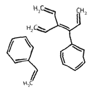 C=CC(C=C)=C(C=C)c1ccccc1.C=Cc1ccccc1